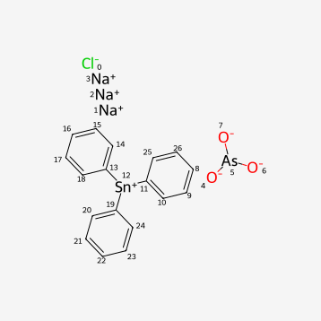 [Cl-].[Na+].[Na+].[Na+].[O-][As]([O-])[O-].c1cc[c]([Sn+]([c]2ccccc2)[c]2ccccc2)cc1